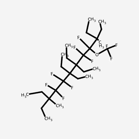 CCC(C)(CC)C(F)(F)C(F)(F)C(CC)(CC)C(CC)(CC)C(F)(F)C(F)(OC(F)(F)F)C(C)(CC)CC